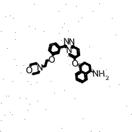 N[C@H]1CC[C@@H](Oc2ccc3nnc(-c4cccc(OCCN5CCOCC5)c4)n3c2)c2ccccc21